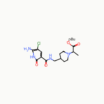 CCCCOC(=O)C(C)N1CCC(CNC(=O)c2cc(Cl)c(N)[nH]c2=O)CC1